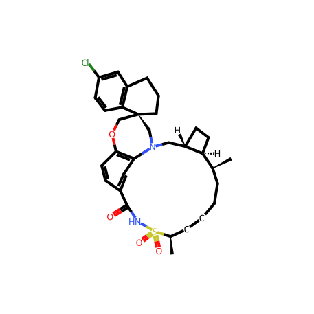 C[C@@H]1CCCC[C@H](C)[C@@H]2CC[C@H]2CN2C[C@@]3(CCCc4cc(Cl)ccc43)COc3ccc(cc32)C(=O)NS1(=O)=O